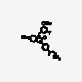 C=C(/C=N\N)c1ccc(N2CC3(CCN(C(C)(C)C)CC3)N(Cc3cc(F)cc(OC)c3)C2=O)cc1